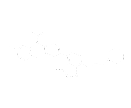 NC(=O)N(c1ccc(-c2ccc(OCCN3CCOCC3)c3[nH]nc(N)c23)cc1)c1cc(C(F)(F)F)ccc1F